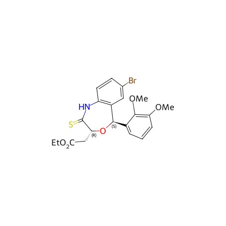 CCOC(=O)C[C@H]1O[C@H](c2cccc(OC)c2OC)c2cc(Br)ccc2NC1=S